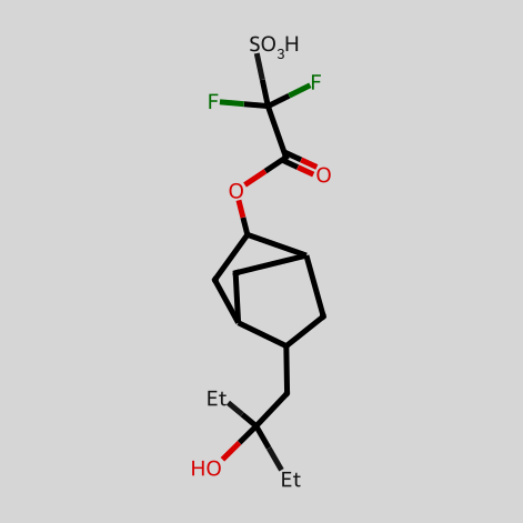 CCC(O)(CC)CC1CC2CC1CC2OC(=O)C(F)(F)S(=O)(=O)O